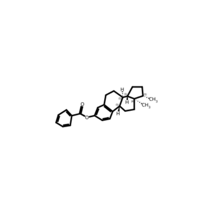 C[C@H]1CC[C@H]2[C@@H]3CCc4cc(OC(=O)c5ccccc5)ccc4[C@H]3CC[C@]12C